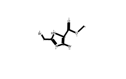 COC(=O)c1[nH]c(CBr)nc1Br